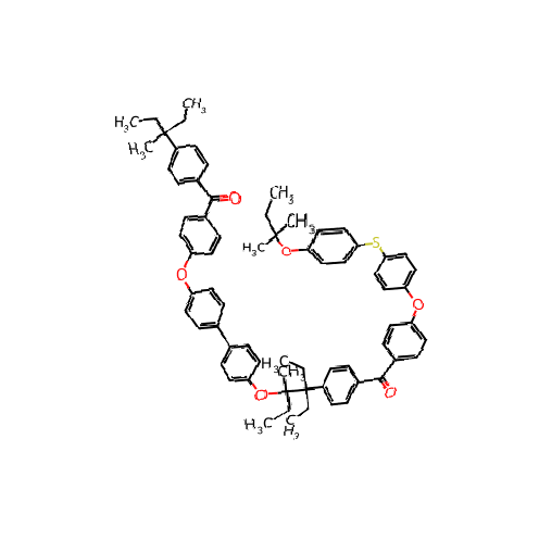 CCC(C)(C)Oc1ccc(Sc2ccc(Oc3ccc(C(=O)c4ccc(C(CC)(CC)C(C)(CC)Oc5ccc(-c6ccc(Oc7ccc(C(=O)c8ccc(C(C)(CC)CC)cc8)cc7)cc6)cc5)cc4)cc3)cc2)cc1